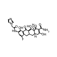 NC(=O)C1=C(O)C[C@@H]2CC3Cc4c(F)cc(NC(=O)Cn5ccnc5)c(O)c4C(=O)C3=C(O)[C@]2(O)C1=O